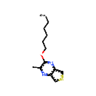 CCCCCCCCCCCCCCCOc1nc2cscc2nc1C